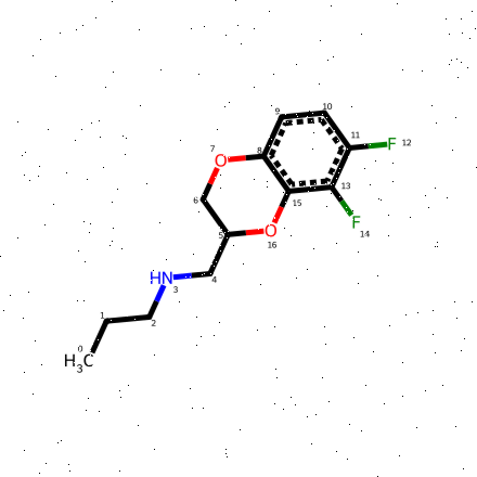 CCCNCC1COc2ccc(F)c(F)c2O1